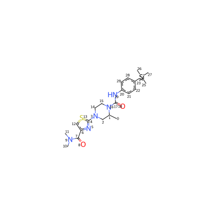 CC1CN(c2nc(C(=O)N(C)C)cs2)CCN1C(=O)Nc1ccc([Si](C)(C)C)cc1